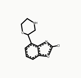 Clc1nc2c(C3CNCCO3)cccc2o1